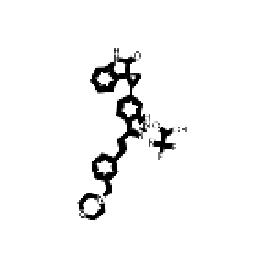 O=C(O)C(F)(F)F.O=C1Nc2ccccc2[C@]12C[C@H]2c1ccc2c(C=Cc3cccc(CN4CCOCC4)c3)n[nH]c2c1